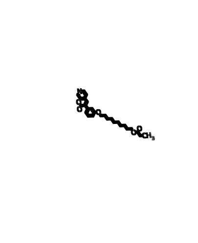 CCC(=O)OCCCCCCCCCCOc1cccc(-c2cc3ccncc3oc2=O)c1